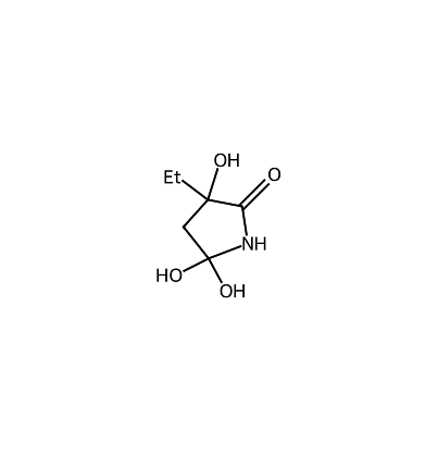 CCC1(O)CC(O)(O)NC1=O